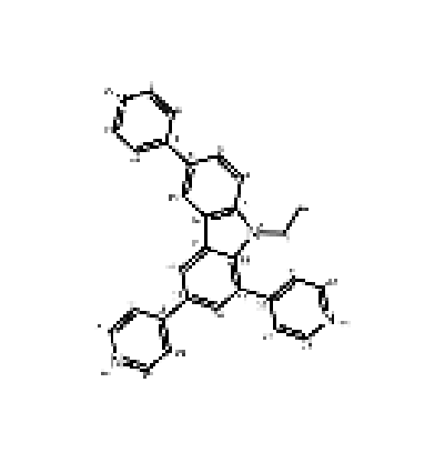 CCn1c2ccc(-c3ccncc3)cc2c2cc(-c3ccncc3)cc(-c3ccncc3)c21